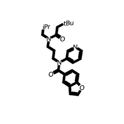 CC(C)CN(CCCN(C(=O)c1ccc2occc2c1)c1cccnc1)C(=O)CC(C)(C)C